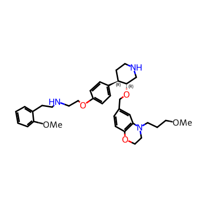 COCCCN1CCOc2ccc(CO[C@H]3CNCC[C@@H]3c3ccc(OCCNCCc4ccccc4OC)cc3)cc21